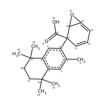 Cc1cc2c(cc1C1(C(=O)O)C=CC=C3OC31)C(C)(C)CCC2(C)C